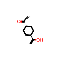 C=C(O)[C@H]1CC[C@H](C(=O)C(C)C)CC1